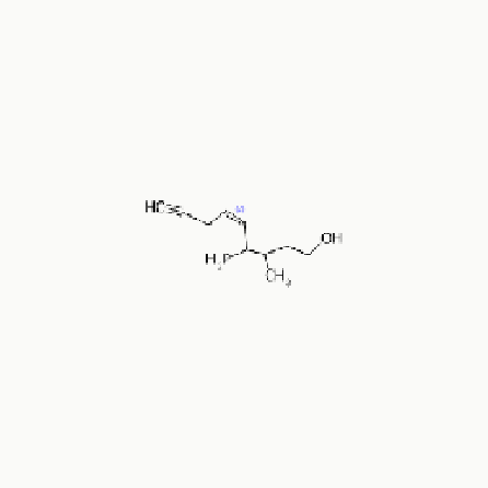 C#CC/C=C\C(P)C(C)CCO